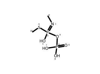 CN=P(O)(OP(=O)(O)O)SC